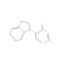 Nc1ncc(C2CCc3ccccc32)c(N)n1